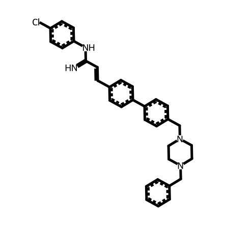 N=C(/C=C/c1ccc(-c2ccc(CN3CCN(Cc4ccccc4)CC3)cc2)cc1)Nc1ccc(Cl)cc1